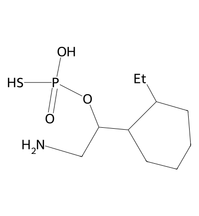 CCC1CCCCC1C(CN)OP(=O)(O)S